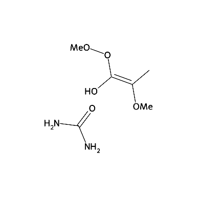 COOC(O)=C(C)OC.NC(N)=O